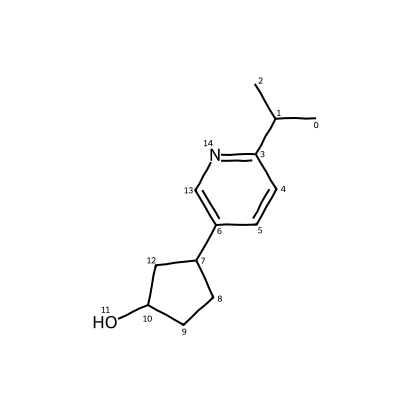 CC(C)c1ccc(C2CCC(O)C2)cn1